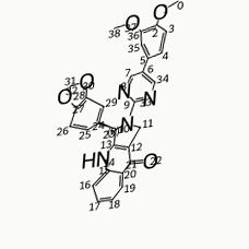 COc1ccc(-c2cnc(N3Cc4c([nH]c5ccccc5c4=O)[C@H]3c3ccc4c(c3)OCO4)nc2)cc1OC